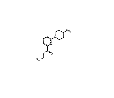 CCOC(=O)c1cccc(N2CCC(N)CC2)n1